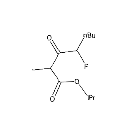 CCCCC(F)C(=O)C(C)C(=O)OC(C)C